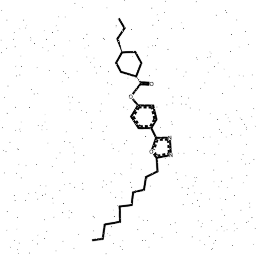 CCCCCCCCCCc1nnc(-c2ccc(OC(=O)[C@H]3CC[C@H](CCC)CC3)cc2)o1